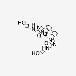 COc1nc(-c2cccc(-c3cccc(-c4cnc(CNC[C@H]5C[C@H](O)C5)c(OC)n4)c3Cl)c2Cl)cnc1CNC[C@H]1C[C@H](O)C1